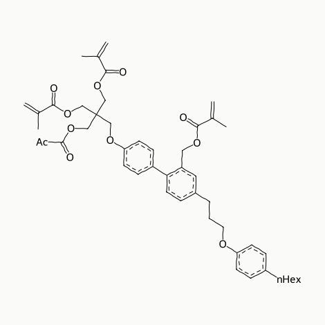 C=C(C)C(=O)OCc1cc(CCCOc2ccc(CCCCCC)cc2)ccc1-c1ccc(OCC(COC(=O)C(=C)C)(COC(=O)C(=C)C)COC(=O)C(C)=O)cc1